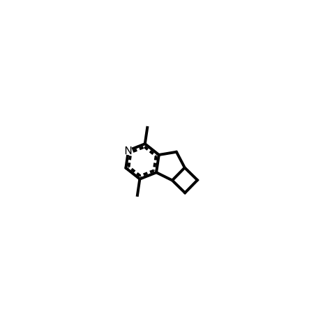 Cc1cnc(C)c2c1C1CCC1C2